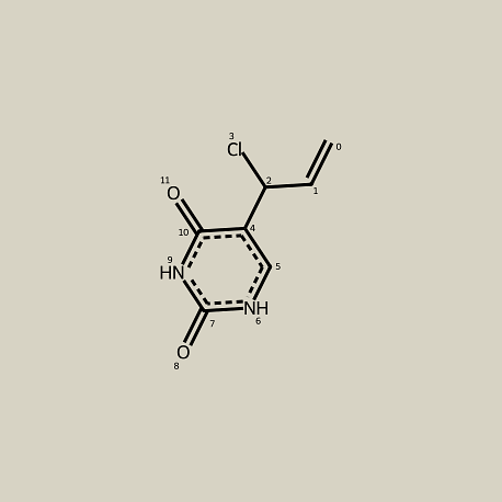 C=CC(Cl)c1c[nH]c(=O)[nH]c1=O